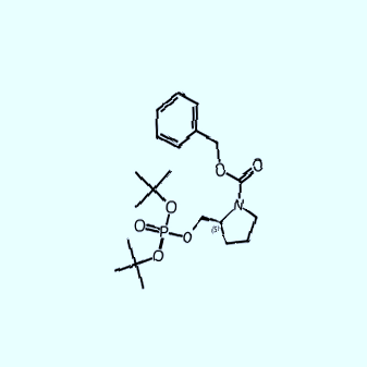 CC(C)(C)OP(=O)(OC[C@@H]1CCCN1C(=O)OCc1ccccc1)OC(C)(C)C